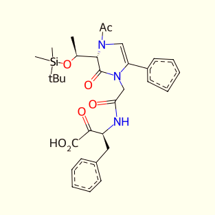 CC(=O)N1C=C(c2ccccc2)N(CC(=O)N[C@@H](Cc2ccccc2)C(=O)C(=O)O)C(=O)[C@@H]1[C@H](C)O[Si](C)(C)C(C)(C)C